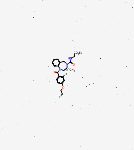 CCOC(=O)CNC(=O)N1Cc2ccccc2N(C(=O)c2ccc(OCCF)cc2Cl)C[C@H]1C